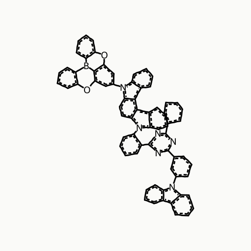 c1ccc(-c2nc(-c3cccc(-n4c5ccccc5c5ccccc54)c3)nc(-c3ccccc3-n3c4ccccc4c4c5c6ccccc6n(-c6cc7c8c(c6)Oc6ccccc6B8c6ccccc6O7)c5ccc43)n2)cc1